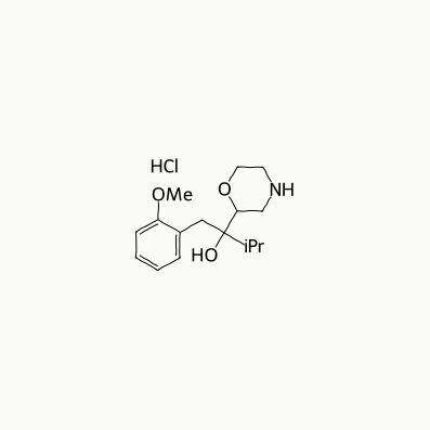 COc1ccccc1CC(O)(C(C)C)C1CNCCO1.Cl